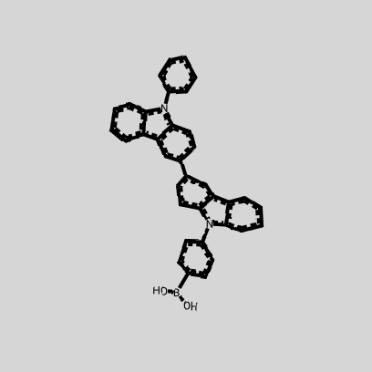 OB(O)c1ccc(-n2c3ccccc3c3cc(-c4ccc5c(c4)c4ccccc4n5-c4ccccc4)ccc32)cc1